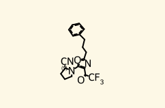 N#C[C@@H]1CCCN1c1oc(CCCc2ccccc2)nc1C(=O)C(F)(F)F